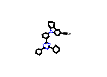 C#Cc1ccc2c(c1)c1ccccc1n2-c1cccc(-c2nc(-c3ccccc3)nc(-c3ccccc3)n2)c1